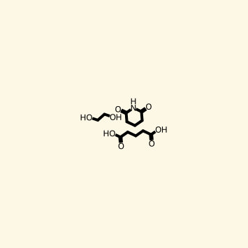 O=C(O)CCCC(=O)O.O=C1CCCC(=O)N1.OCCO